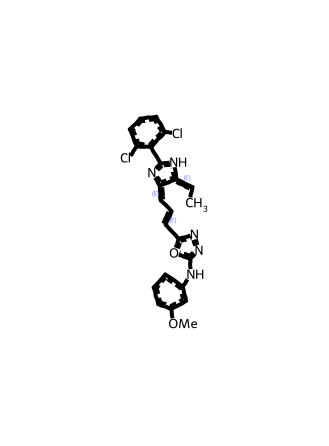 C/C=c1/[nH]c(-c2c(Cl)cccc2Cl)n/c1=C/C=C/c1nnc(Nc2cccc(OC)c2)o1